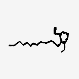 C=Cc1cccc(CC)c1CCCCCCCCCCCC